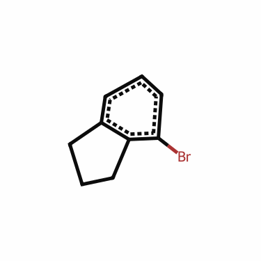 Brc1cccc2c1CCC2